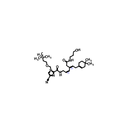 CC1(C)CC=C(C/C=C(\C=C/CNC(=O)c2nc(C#N)cn2COCC[Si](C)(C)C)CC(=O)NCCCO)CC1